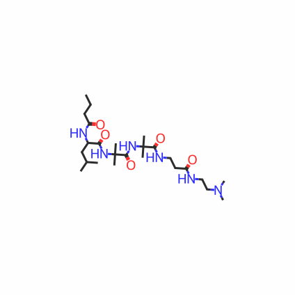 CCCC(=O)NC(CC(C)C)C(=O)NC(C)(C)C(=O)NC(C)(C)C(=O)NCCC(=O)NCCN(C)C